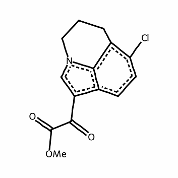 COC(=O)C(=O)c1cn2c3c(c(Cl)ccc13)CCC2